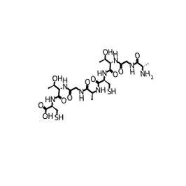 C[C@H](N)C(=O)NCC(=O)N[C@H](C(=O)N[C@@H](CS)C(=O)N[C@@H](C)C(=O)NCC(=O)N[C@H](C(=O)N[C@@H](CS)C(=O)O)[C@@H](C)O)[C@@H](C)O